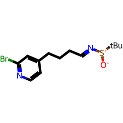 CC(C)(C)[S+]([O-])/N=C/CCCc1ccnc(Br)c1